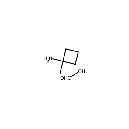 CC1(N)CCC1.O=CO